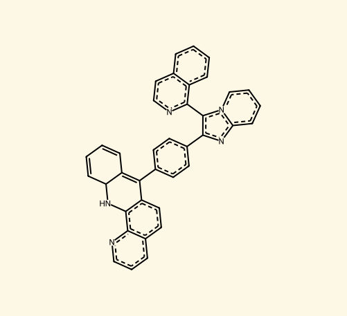 C1=CC2=C(c3ccc(-c4nc5ccccn5c4-c4nccc5ccccc45)cc3)c3ccc4cccnc4c3NC2C=C1